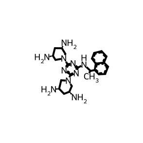 CC(Nc1nc(N2C[C@H](N)C[C@H](N)C2)nc(N2C[C@H](N)C[C@H](N)C2)n1)c1cccc2ccccc12